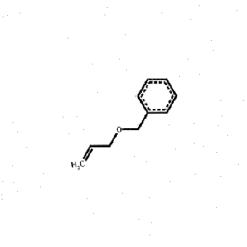 C=CCOCc1[c]cccc1